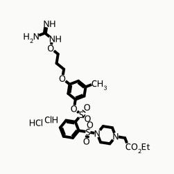 CCOC(=O)CN1CCN(S(=O)(=O)c2ccccc2S(=O)(=O)Oc2cc(C)cc(OCCCONC(=N)N)c2)CC1.Cl.Cl